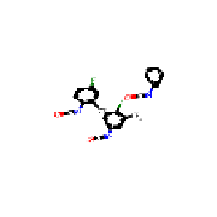 O=C=Nc1ccc(F)c(C(F)(F)F)c1.O=C=Nc1ccc(F)cc1C(F)(F)F.O=C=Nc1ccccc1